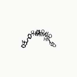 Cn1cc(NC(=O)c2cc(NC(=O)c3ccc(/C=C/c4cnc5ccccc5c4)cc3)cn2C)cc1C(=O)NCCN1CCOCC1